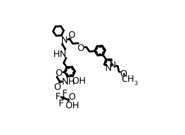 COCCn1cc(-c2cccc(CCOCCC(=O)N(CCNCCc3ccc(O)c4c3OCC(=O)N4)C3CCCCC3)c2)cn1.O=C(O)C(F)(F)F